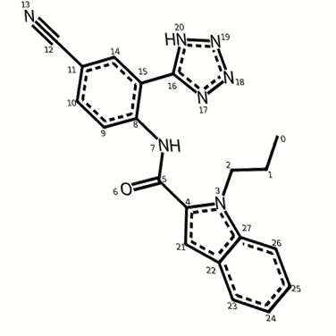 CCCn1c(C(=O)Nc2ccc(C#N)cc2-c2nnn[nH]2)cc2ccccc21